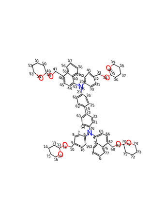 c1ccc2c(N(c3ccc(COC4CCCCO4)cc3)c3ccc(-c4ccc(N(c5ccc(COC6CCCCO6)cc5)c5ccc(COC6CCCCO6)c6ccccc56)cc4)cc3)ccc(COC3CCCCO3)c2c1